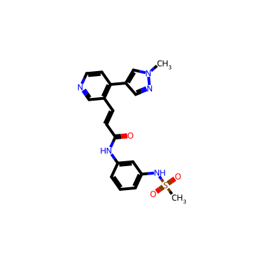 Cn1cc(-c2ccncc2/C=C/C(=O)Nc2cccc(NS(C)(=O)=O)c2)cn1